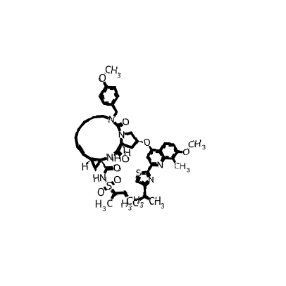 CCC(C)S(=O)(=O)NC(=O)[C@@]12C[C@H]1/C=C\CCCCCN(Cc1ccc(OC)cc1)C(=O)N1C[C@H](Oc3cc(-c4nc(C(C)C)cs4)nc4c(C)c(OC)ccc34)C[C@H]1C(=O)N2